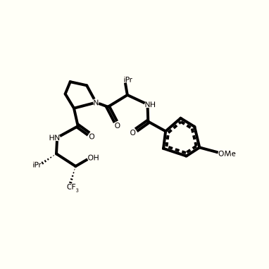 COc1ccc(C(=O)NC(C(=O)N2CCCC2C(=O)N[C@@H](C(C)C)[C@H](O)C(F)(F)F)C(C)C)cc1